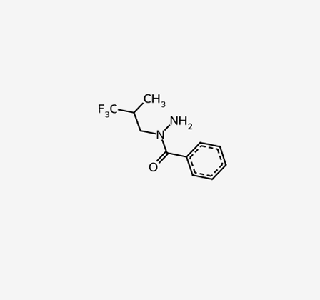 CC(CN(N)C(=O)c1ccccc1)C(F)(F)F